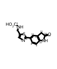 O=C(O)NCc1cnc(-c2ccc3c(c2)CC(=O)N3)s1